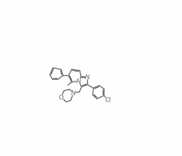 Cc1c(-c2ccccc2)ccc2nc(-c3ccc(Cl)cc3)c(CN3CCOCC3)n12